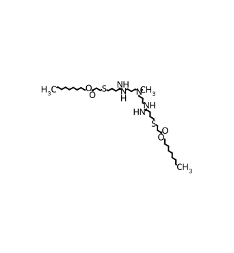 CCCCCCCCCOC(=O)CCSCCCC(=N)NCCCN(C)CCCNC(=N)CCCSCCC(=O)OCCCCCCCCC